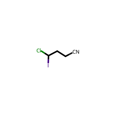 N#CCCC(Cl)I